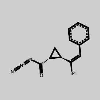 CC(C)C(=Cc1ccccc1)[C@@H]1C[C@H]1C(=O)N=[N+]=[N-]